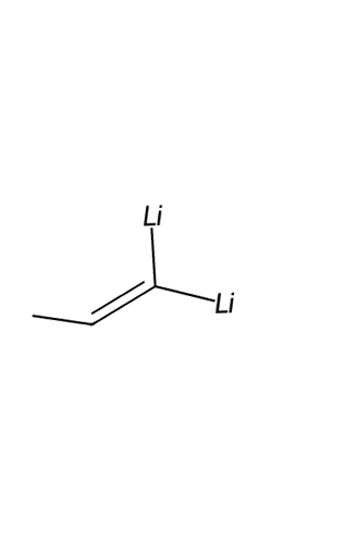 [Li][C]([Li])=CC